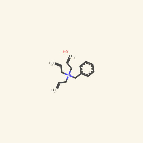 C=CC[N+](CC=C)(CC=C)Cc1ccccc1.[OH-]